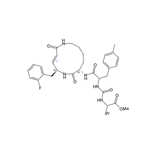 COC(=O)C(NC(=O)NC(Cc1ccc(C)cc1)C(=O)N[C@H]1CCCCNC(=O)/C=C/[C@H](Cc2ccccc2F)NC1=O)C(C)C